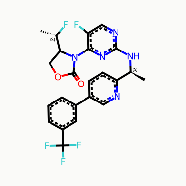 C[C@H](Nc1ncc(F)c(N2C(=O)OCC2[C@H](C)F)n1)c1ccc(-c2cccc(C(F)(F)F)c2)cn1